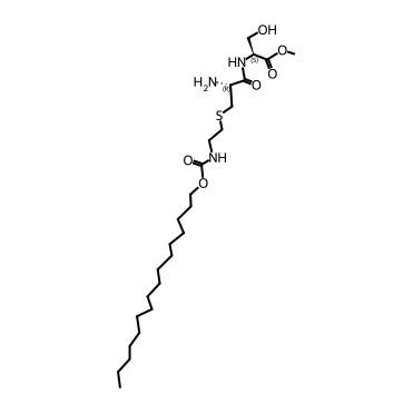 CCCCCCCCCCCCCCCCOC(=O)NCCSC[C@H](N)C(=O)N[C@@H](CO)C(=O)OC